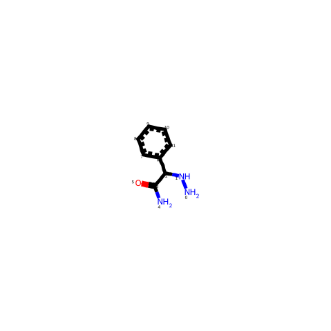 NNC(C(N)=O)c1ccccc1